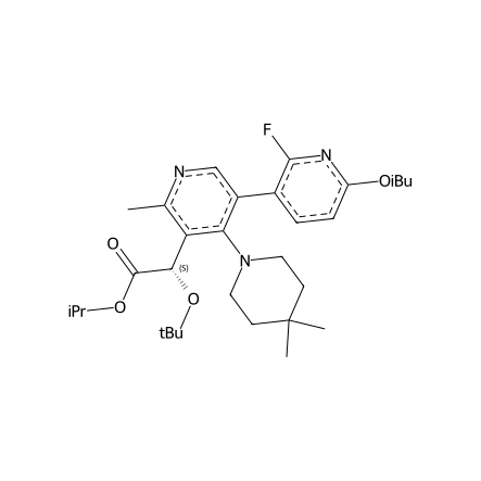 Cc1ncc(-c2ccc(OCC(C)C)nc2F)c(N2CCC(C)(C)CC2)c1[C@H](OC(C)(C)C)C(=O)OC(C)C